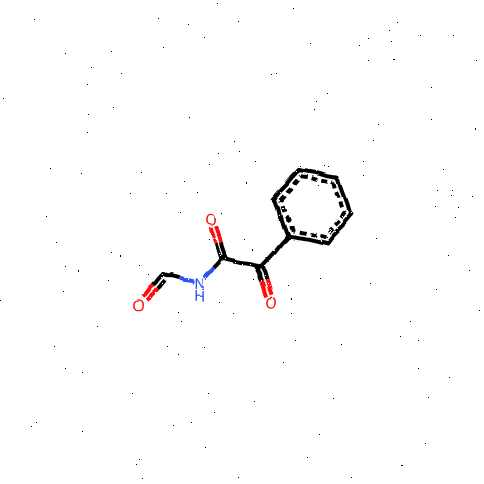 O=CNC(=O)C(=O)c1ccccc1